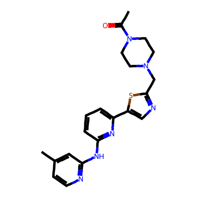 CC(=O)N1CCN(Cc2ncc(-c3cccc(Nc4cc(C)ccn4)n3)s2)CC1